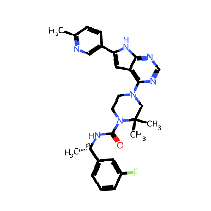 Cc1ccc(-c2cc3c(N4CCN(C(=O)N[C@@H](C)c5cccc(F)c5)C(C)(C)C4)ncnc3[nH]2)cn1